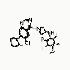 CSc1c(F)c(F)c(NC2CN(c3ncnc4cc(-c5ccccc5F)c(Cl)cc34)C2)c(F)c1F